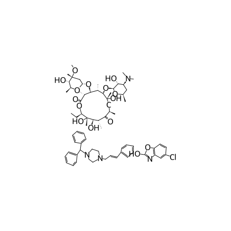 C(=C\c1ccccc1)/CN1CCN(C(c2ccccc2)c2ccccc2)CC1.CC[C@H]1OC(=O)[C@H](C)[C@@H](O[C@H]2C[C@@](C)(OC)[C@@H](O)[C@H](C)O2)[C@H](C)[C@@H](O[C@@H]2O[C@H](C)C[C@H](N(C)C)[C@H]2O)[C@](C)(O)C[C@@H](C)C(=O)[C@H](C)[C@@H](O)[C@]1(C)O.Oc1nc2cc(Cl)ccc2o1